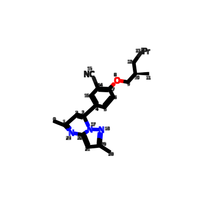 Cc1cc(-c2ccc(OC[C@H](C)CC(C)C)c(C#N)c2)n2nc(C)cc2n1